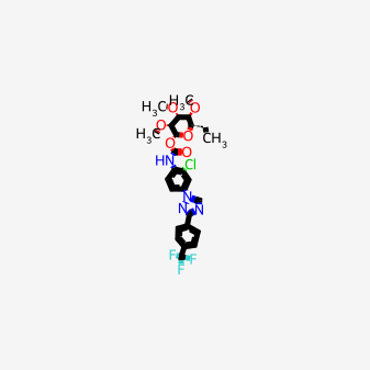 CC[C@@H]1O[C@@H](OC(=O)Nc2ccc(-n3cnc(-c4ccc(C(F)(F)F)cc4)n3)cc2Cl)[C@H](OC)[C@H](OC)[C@H]1OC